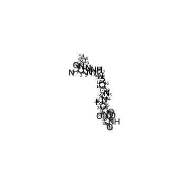 N#Cc1cc2cnc(NC3CCN(Sc4cccc(CN5CCN(c6cc7c(cc6F)C(=O)N(C6CCC(=O)NC6=O)C7=O)CC5)c4)CC3)nc2n(C2CCCC2)c1=O